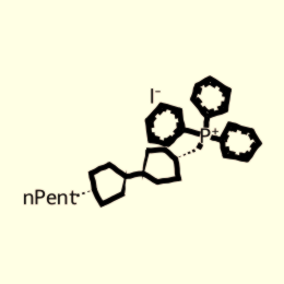 CCCCC[C@H]1CC[C@H]([C@H]2CC[C@H](C[P+](c3ccccc3)(c3ccccc3)c3ccccc3)CC2)CC1.[I-]